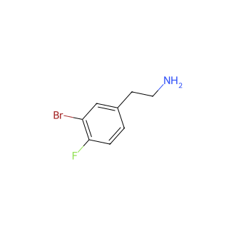 NCCc1ccc(F)c(Br)c1